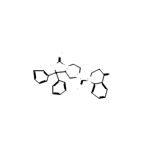 O=C1CCN(C(=O)N2CCN3C(=O)OC(c4ccccc4)(c4ccccc4)C3C2)c2ccccc21